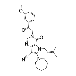 COc1cccc(C(=O)Cn2cnc3c(C#N)c(N4CCCCCC4)n(CC=C(C)C)c3c2=O)c1